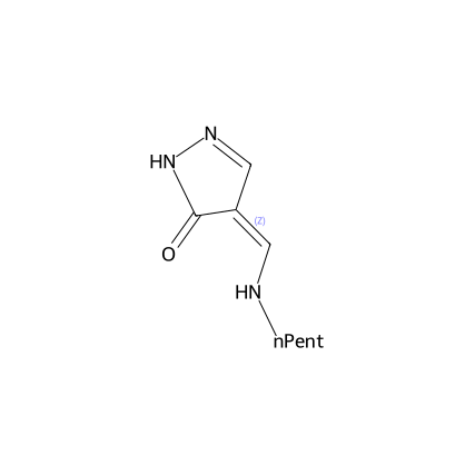 CCCCCN/C=C1/C=NNC1=O